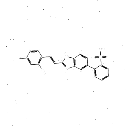 NS(=O)(=O)c1ccccc1-c1ccc2[nH]c(C=Cc3ccc(Cl)cc3Cl)nc2c1